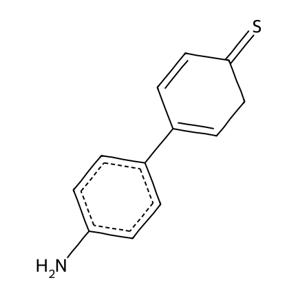 Nc1ccc(C2=CCC(=S)C=C2)cc1